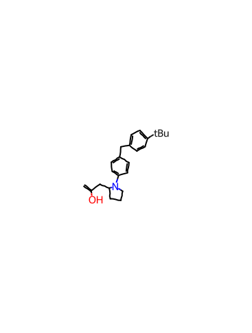 C=C(O)CC1CCCN1c1ccc(Cc2ccc(C(C)(C)C)cc2)cc1